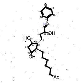 CC(=O)CCCCCC[C@@H]1[C@@H](CCC(O)/C=N/c2ccccc2)[C@H](O)C[C@@H]1O